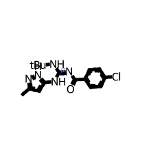 Cc1cc(N/C(=N\C(=O)c2ccc(Cl)cc2)NC(C)(C)C)[nH]n1